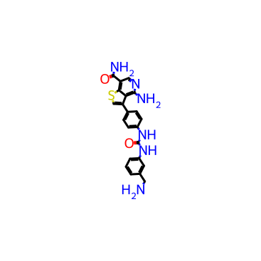 NCc1cccc(NC(=O)Nc2ccc(-c3csc4c(C(N)=O)cnc(N)c34)cc2)c1